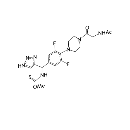 COC(=S)NC(c1cc(F)c(N2CCN(C(=O)CNC(C)=O)CC2)c(F)c1)c1c[nH]nn1